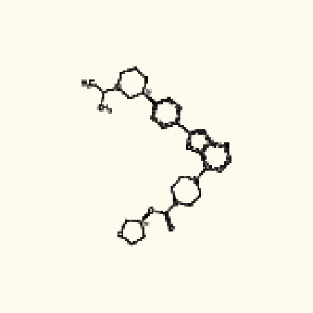 CC(C)N1CCC[C@@H](c2ccc(-c3cc4c(N5CCN(C(=O)O[C@H]6CCOC6)CC5)ccnn4c3)cc2)C1